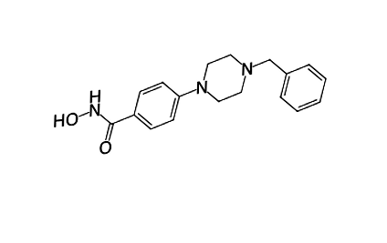 O=C(NO)c1ccc(N2CCN(Cc3ccccc3)CC2)cc1